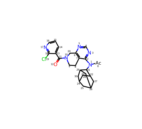 CC(=O)N(c1ncnc2c1CCN(C(=O)c1cccnc1Cl)C2)C1C2CC3CC(C2)CC1C3